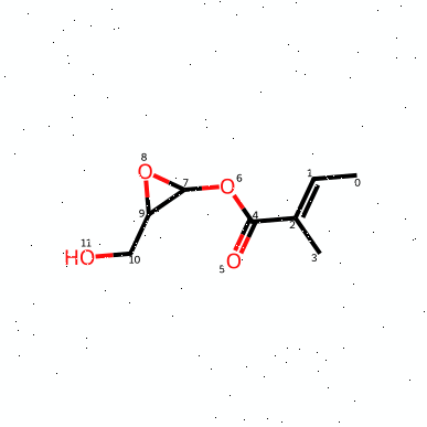 CC=C(C)C(=O)OC1OC1CO